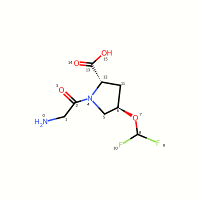 NCC(=O)N1C[C@H](OC(F)F)C[C@H]1C(=O)O